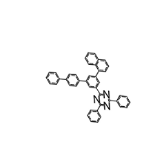 c1ccc(-c2ccc(-c3cc(-c4nc(-c5ccccc5)nc(-c5ccccc5)n4)cc(-c4cccc5ccccc45)c3)cc2)cc1